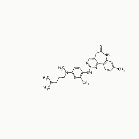 Cc1ccc2c(c1)NC(=S)Cc1cnc(Nc3ccc(N(C)CCCN(C)C)nc3C)nc1-2